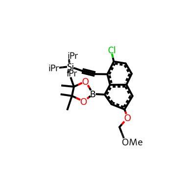 COCOc1cc(B2OC(C)(C)C(C)(C)O2)c2c(C#C[Si](C(C)C)(C(C)C)C(C)C)c(Cl)ccc2c1